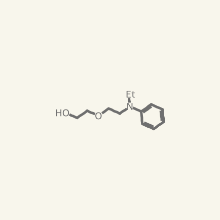 CCN(CCOCCO)c1ccccc1